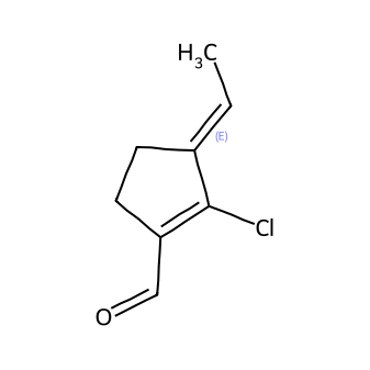 C/C=C1\CCC(C=O)=C1Cl